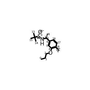 CCCOc1cc([C@H](C)N[S@@+]([O-])C(C)(C)C)ccc1F